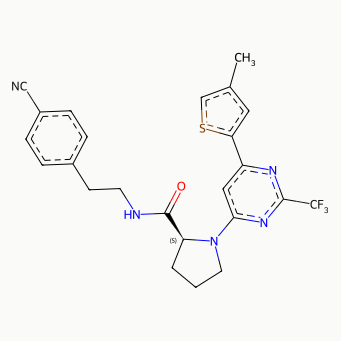 Cc1csc(-c2cc(N3CCC[C@H]3C(=O)NCCc3ccc(C#N)cc3)nc(C(F)(F)F)n2)c1